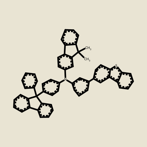 CC1(C)c2ccccc2-c2ccc(N(c3ccc(C4(c5ccccc5)c5ccccc5-c5ccccc54)cc3)c3cccc(-c4ccc5sc6ccccc6c5c4)c3)cc21